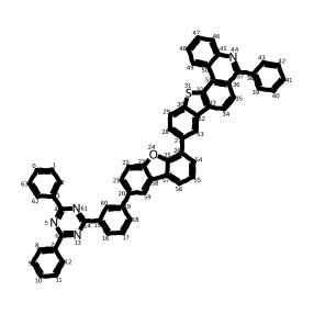 c1ccc(-c2nc(-c3ccccc3)nc(-c3cccc(-c4ccc5oc6c(-c7ccc8sc9c(ccc%10c(-c%11ccccc%11)nc%11ccccc%11c%109)c8c7)cccc6c5c4)c3)n2)cc1